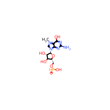 C[n+]1cn([C@@H]2O[C@H](CO[PH](=O)O)C(O)[C@@H]2O)c2nc(N)nc(O)c21